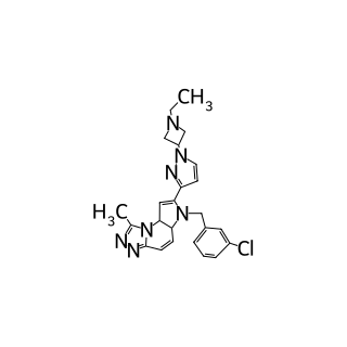 CCN1CC(n2ccc(C3=CC4C(C=Cc5nnc(C)n54)N3Cc3cccc(Cl)c3)n2)C1